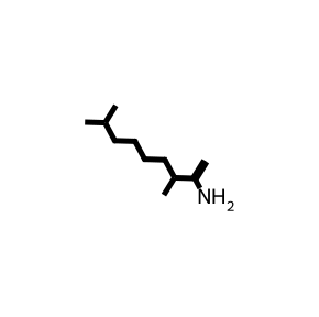 C=C(N)C(C)CCCCC(C)C